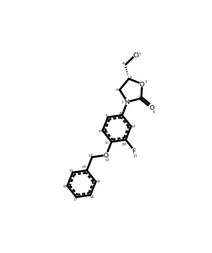 O=C1O[C@@H](CCl)CN1c1ccc(OCc2ccccc2)c(F)c1